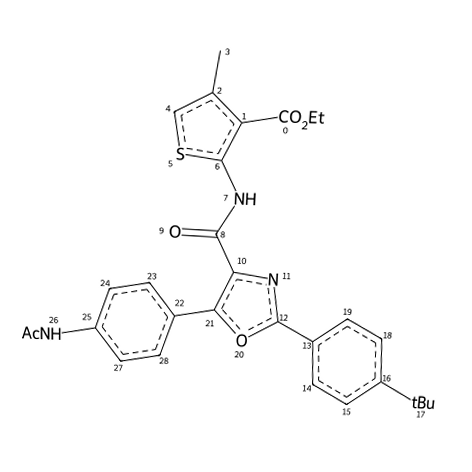 CCOC(=O)c1c(C)csc1NC(=O)c1nc(-c2ccc(C(C)(C)C)cc2)oc1-c1ccc(NC(C)=O)cc1